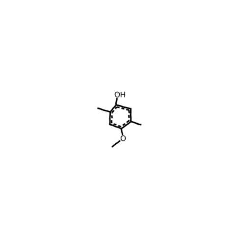 COc1cc(C)c(O)cc1C